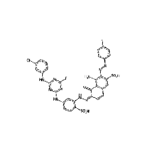 Cc1ccc(/N=N/c2c(S(=O)(=O)O)cc3c(c2N)C(=O)/C(=N\Nc2cc(Nc4nc(F)nc(Nc5cccc(Cl)c5)n4)ccc2S(=O)(=O)O)C=C3)cc1